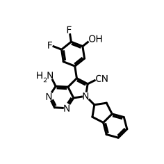 N#Cc1c(-c2cc(O)c(F)c(F)c2)c2c(N)ncnc2n1C1Cc2ccccc2C1